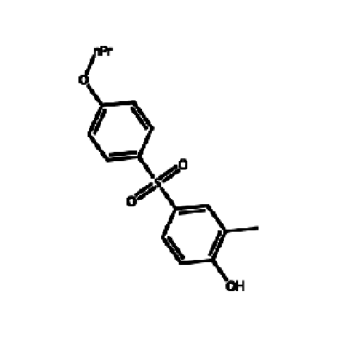 CCCOc1ccc(S(=O)(=O)c2ccc(O)c(C)c2)cc1